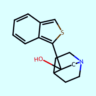 OC1(c2scc3ccccc23)CN2CCC1CC2